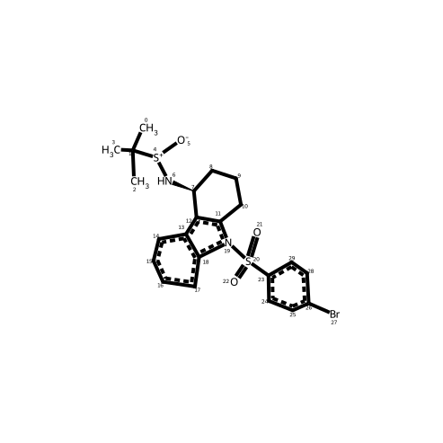 CC(C)(C)[S+]([O-])N[C@H]1CCCc2c1c1ccccc1n2S(=O)(=O)c1ccc(Br)cc1